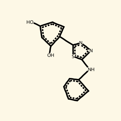 Oc1ccc(-c2nnc(Nc3ccccc3)s2)c(O)c1